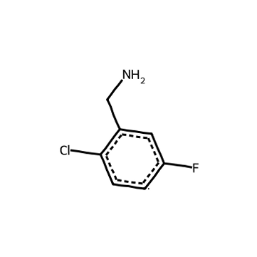 NCc1cc(F)[c]cc1Cl